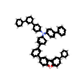 c1ccc(-c2ccc(N(c3ccc(-c4cccc(-c5ccccc5)c4)cc3)c3ccc(-c4cccc(-c5ccc6oc7ccc(-c8ccccc8)cc7c6c5)c4)cc3)cc2)cc1